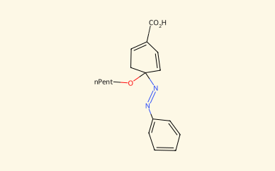 CCCCCOC1(N=Nc2ccccc2)C=CC(C(=O)O)=CC1